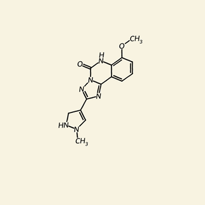 COc1cccc2c1[nH]c(=O)n1nc(C3=CN(C)NC3)nc21